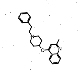 Cc1cc(OC2CCN(CCc3ccccc3)CC2)c2ccccc2n1